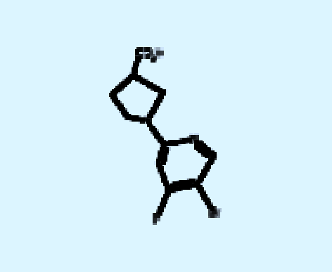 O=C(O)C1CCN(c2cc(F)c(Br)cn2)C1